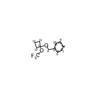 FC(F)(F)OC1(OCc2ccccc2)CCC1